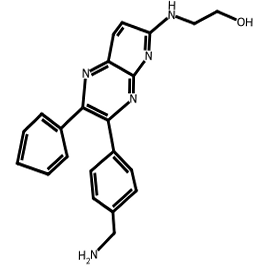 NCc1ccc(-c2nc3nc(NCCO)ccc3nc2-c2ccccc2)cc1